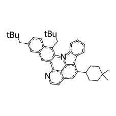 CC(C)(C)Cc1ccc2c(CC(C)(C)C)c3c(cc2c1)c1nccc2cc(C4CCC(C)(C)CC4)c4c5ccccc5n3c4c21